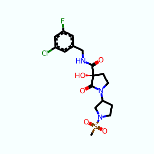 CS(=O)(=O)N1CCC(N2CC[C@@](O)(C(=O)NCc3cc(F)cc(Cl)c3)C2=O)C1